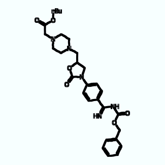 CCCCOC(=O)CN1CCN(CC2CN(c3ccc(C(=N)NC(=O)OCc4ccccc4)cc3)C(=O)O2)CC1